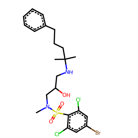 CN(CC(O)CNC(C)(C)CCCc1ccccc1)S(=O)(=O)c1c(Cl)cc(Br)cc1Cl